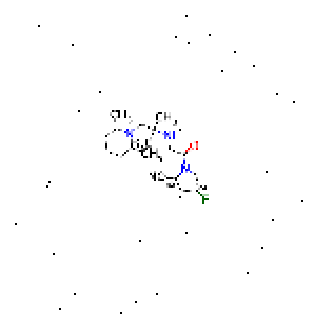 CC1CCCC(C)N1CC(C)(C)NCC(=O)N1C[C@@H](F)C[C@H]1C#N